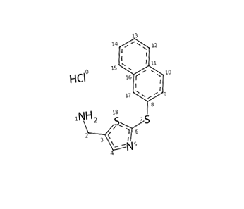 Cl.NCc1cnc(Sc2ccc3ccccc3c2)s1